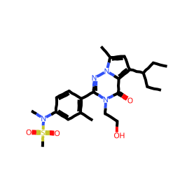 CCC(CC)c1cc(C)n2nc(-c3ccc(N(C)S(C)(=O)=O)cc3C)n(CCO)c(=O)c12